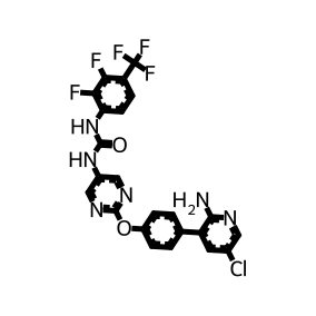 Nc1ncc(Cl)cc1-c1ccc(Oc2ncc(NC(=O)Nc3ccc(C(F)(F)F)c(F)c3F)cn2)cc1